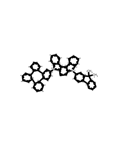 CC1(C)c2ccccc2-c2ccc(-n3c4ccccc4c4c5c6ccccc6n(-c6ccc7c(c6)-c6ccccc6-c6ccccc6-c6ccccc6-7)c5ccc43)cc21